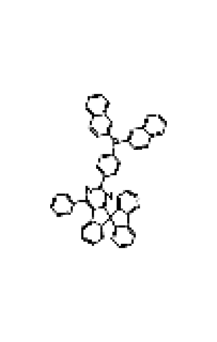 c1ccc(-c2nc(-c3ccc(P(c4ccc5ccccc5c4)c4ccc5ccccc5c4)cc3)nc3c2-c2ccccc2C32c3ccccc3-c3ccccc32)cc1